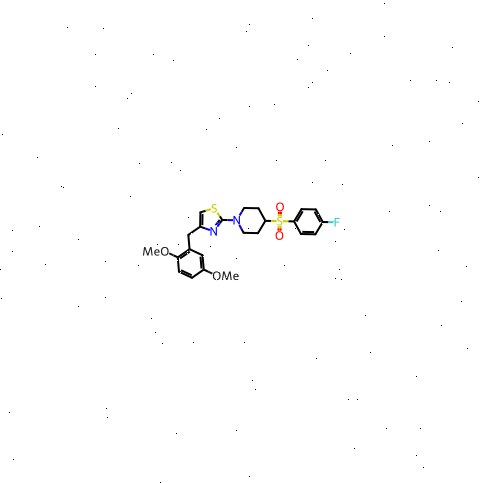 COc1ccc(OC)c(Cc2csc(N3CCC(S(=O)(=O)c4ccc(F)cc4)CC3)n2)c1